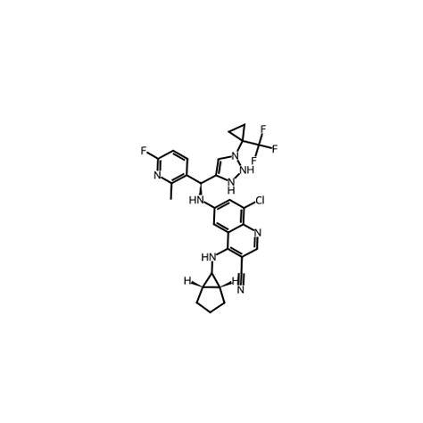 Cc1nc(F)ccc1[C@H](Nc1cc(Cl)c2ncc(C#N)c(NC3[C@H]4CCC[C@@H]34)c2c1)C1=CN(C2(C(F)(F)F)CC2)NN1